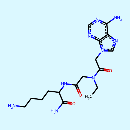 CCN(CC(=O)NC(CCCCN)C(N)=O)C(=O)Cn1cnc2c(N)ncnc21